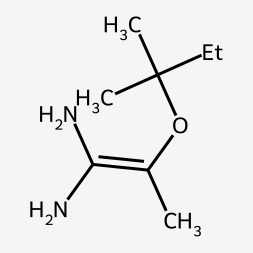 CCC(C)(C)OC(C)=C(N)N